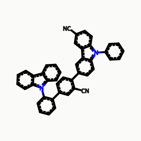 N#Cc1ccc2c(c1)c1cc(-c3ccc(-c4ccccc4-n4c5ccccc5c5ccccc54)cc3C#N)ccc1n2-c1ccccc1